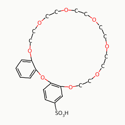 O=S(=O)(O)c1ccc2c(c1)OCCOCCOCCOCCOCCOCCOc1ccccc1O2